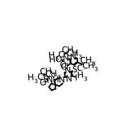 CC(C)(C)c1cnc(N(C(=O)O)C(C)(C)C)c(Cl)c1Sc1ncc(N2CCC3(CCC[C@H]3N[S@+]([O-])C(C)(C)C)CC2)nc1I